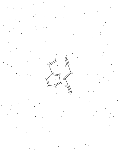 C=Cc1ccccc1.N#C/C=C/C#N